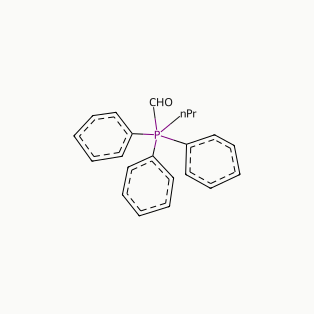 CCCP(C=O)(c1ccccc1)(c1ccccc1)c1ccccc1